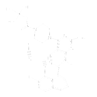 C#Cc1c(F)ccc2cccc(-c3ncc4c(N5CCN(C(=O)OC(C)(C)C)[C@@H](CC#N)C5)nc(OC)nc4c3F)c12